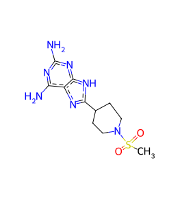 CS(=O)(=O)N1CCC(c2nc3c(N)nc(N)nc3[nH]2)CC1